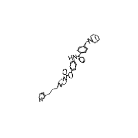 O=C(Nc1ccc(OC(=O)N2CCN(CCCc3cccnc3)CC2)cc1)c1ccc(CN2CCOCC2)cc1